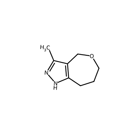 Cc1n[nH]c2c1COCCC2